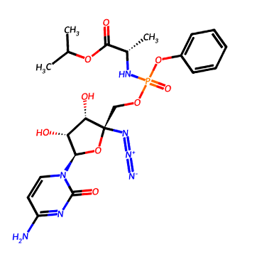 CC(C)OC(=O)[C@H](C)NP(=O)(OC[C@@]1(N=[N+]=[N-])O[C@@H](n2ccc(N)nc2=O)[C@H](O)[C@@H]1O)Oc1ccccc1